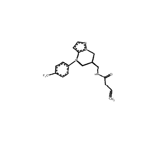 C=CCC(=O)NCC1CN(c2ccc(C(F)(F)F)cc2)c2ccnn2C1